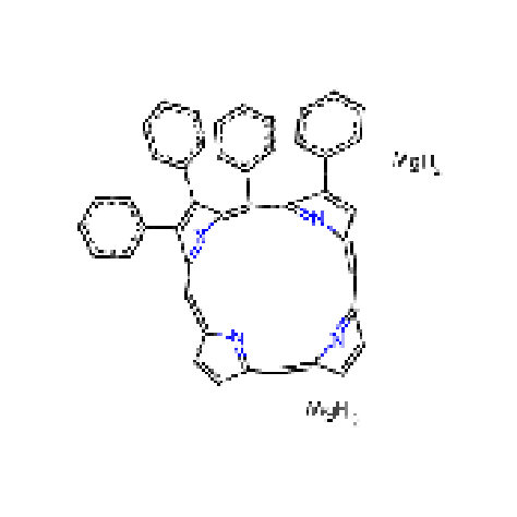 C1=CC2=NC1=CC1=NC(=C(c3ccccc3)C3=NC(=CC4=NC(=C2)C=C4)C=C3c2ccccc2)C(c2ccccc2)=C1c1ccccc1.[MgH2].[MgH2]